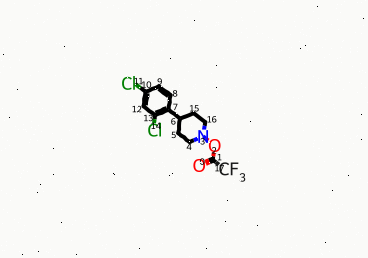 O=C(ON1CCC(c2ccc(Cl)cc2Cl)CC1)C(F)(F)F